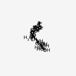 CC(C)N(CCCCNC(=O)NC[C@H](O)[C@@H](O)[C@H](O)[C@H](O)CO)S(=O)(=O)c1ccc(Cl)c(COC2(c3cnccc3-c3ccccc3OC3CC3)CC2)c1